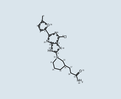 Cc1ccc(-c2nc(Cl)c3nc(N4CCCC(CCC(N)=O)C4)[nH]c3n2)o1